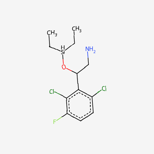 CC[SiH](CC)OC(CN)c1c(Cl)ccc(F)c1Cl